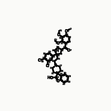 COc1ccc(C(=O)C2CC(CCN3CCC(C(=O)O)(c4ccccc4)CC3)(c3ccc(Cl)c(Cl)c3)CN2)c(OC)c1OC